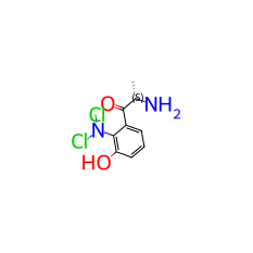 C[C@H](N)C(=O)c1cccc(O)c1N(Cl)Cl